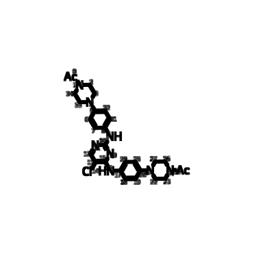 CC(=O)N1CCN(c2ccc(Nc3ncc(Cl)c(Nc4ccc(N5CCN(C(C)=O)CC5)cc4)n3)cc2)CC1